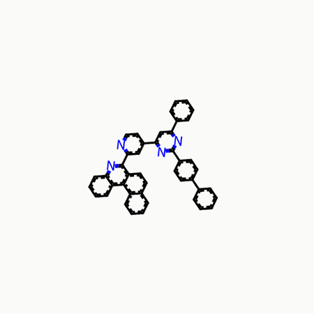 c1ccc(-c2ccc(-c3nc(-c4ccccc4)cc(-c4ccnc(-c5nc6ccccc6c6c5ccc5ccccc56)c4)n3)cc2)cc1